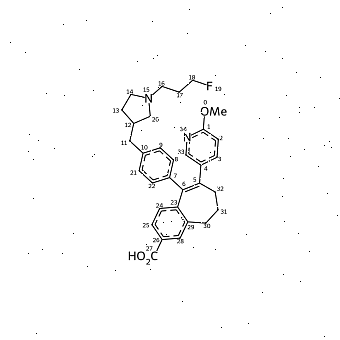 COc1ccc(C2=C(c3ccc(CC4CCN(CCCF)C4)cc3)c3ccc(C(=O)O)cc3CCC2)cn1